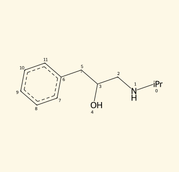 CC(C)NCC(O)[CH]c1ccccc1